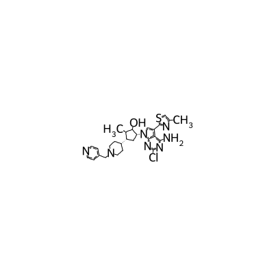 Cc1csc(-c2cn([C@@H]3C[C@H](C4CCN(Cc5ccncc5)CC4)[C@@H](C)[C@H]3O)c3nc(Cl)nc(N)c23)n1